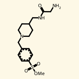 COS(=O)(=O)c1ccc(CN2CCC(CNC(=O)CN)CC2)cc1